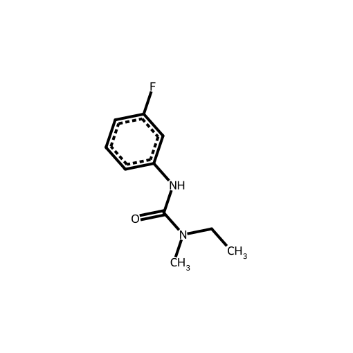 CCN(C)C(=O)Nc1cccc(F)c1